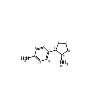 Nc1ccc(C2CCCC2N)cc1